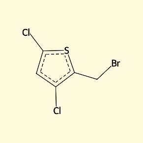 Clc1cc(Cl)c(CBr)s1